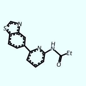 CCC(=O)Nc1cccc(-c2ccc3scnc3c2)n1